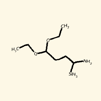 CCOC(CCC(N)[SiH3])OCC